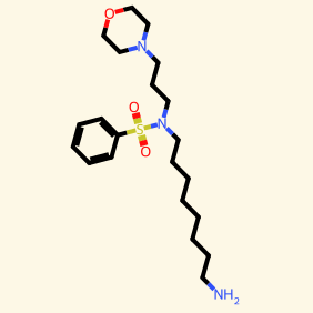 NCCCCCCCCN(CCCN1CCOCC1)S(=O)(=O)c1ccccc1